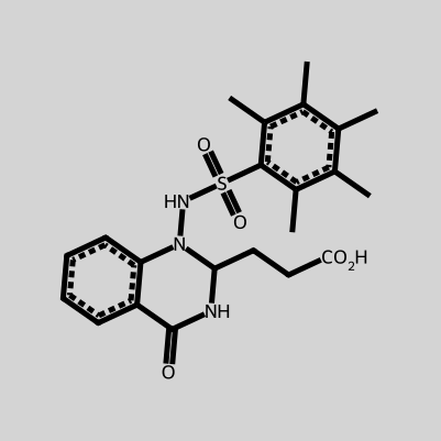 Cc1c(C)c(C)c(S(=O)(=O)NN2c3ccccc3C(=O)NC2CCC(=O)O)c(C)c1C